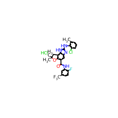 Cc1cccc(Cl)c1Nc1nc2cc(C(=O)Nc3cc(C(F)(F)F)ccc3F)c3c(c2[nH]1)CC(C)(C)O3.Cl